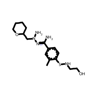 Cc1cc(/C(N)=N/N(N)CC2CCCCO2)ccc1SNCCO